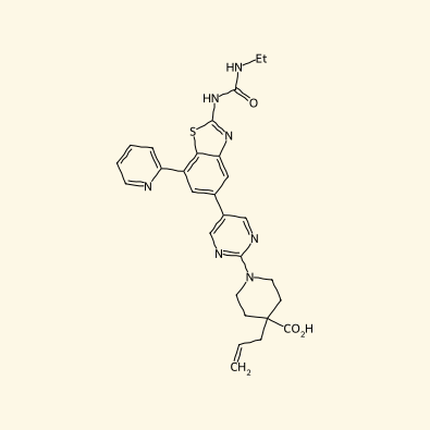 C=CCC1(C(=O)O)CCN(c2ncc(-c3cc(-c4ccccn4)c4sc(NC(=O)NCC)nc4c3)cn2)CC1